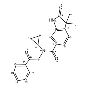 CC1(C)C(=O)Nc2cc(C(=O)N(CC(=O)c3cccnc3)C3CC3)ccc21